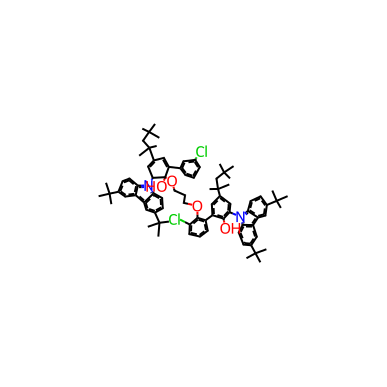 CC(C)(C)CC(C)(C)C1=CC(n2c3ccc(C(C)(C)C)cc3c3cc(C(C)(C)C)ccc32)C(O)(OCCCOc2c(Cl)cccc2-c2cc(C(C)(C)CC(C)(C)C)cc(-n3c4ccc(C(C)(C)C)cc4c4cc(C(C)(C)C)ccc43)c2O)C(c2cccc(Cl)c2)=C1